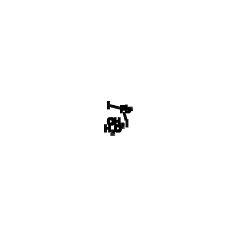 O.O.[I][Pb][I]